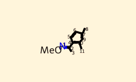 CO/N=C(\C)c1ccc(C)cc1C